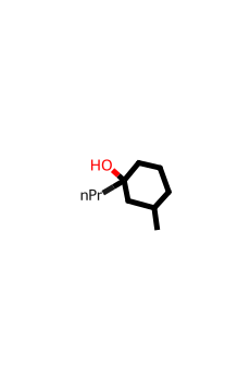 CCCC1(O)CCCC(C)C1